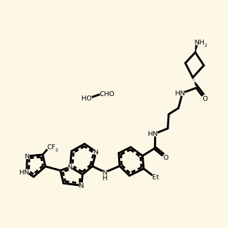 CCc1cc(Nc2nccn3c(-c4c[nH]nc4C(F)(F)F)cnc23)ccc1C(=O)NCCCNC(=O)[C@H]1C[C@H](N)C1.O=CO